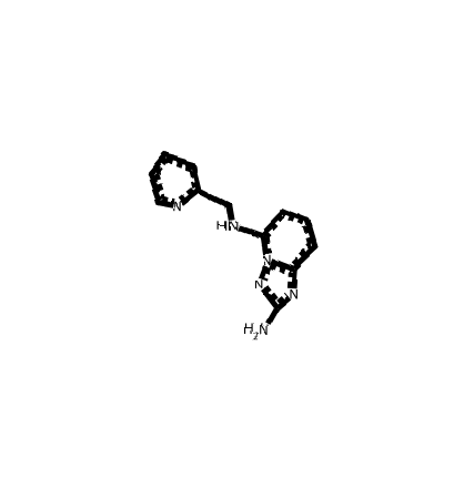 Nc1nc2cccc(NCc3ccccn3)n2n1